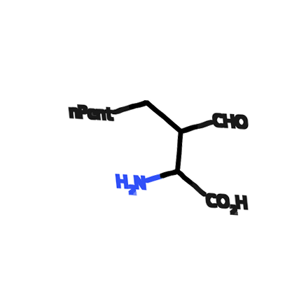 CCCCCCC(C=O)C(N)C(=O)O